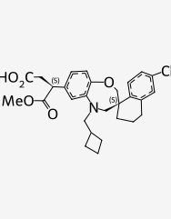 COC(=O)[C@@H](CC(=O)O)c1ccc2c(c1)N(CC1CCC1)C[C@@]1(CCCc3cc(Cl)ccc31)CO2